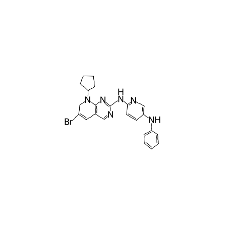 BrC1=Cc2cnc(Nc3ccc(Nc4ccccc4)cn3)nc2N(C2CCCC2)C1